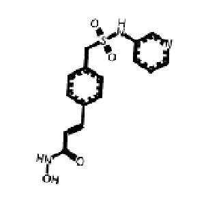 O=C(C=Cc1ccc(CS(=O)(=O)Nc2cccnc2)cc1)NO